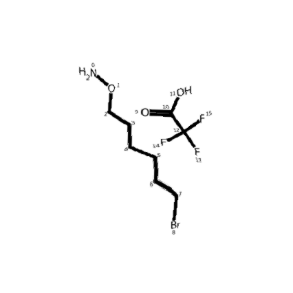 NOCCCCCCBr.O=C(O)C(F)(F)F